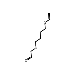 C=COCCCCOCC=O